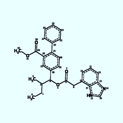 CCC(C)C(OC(=O)Cc1cccc2nc[nH]c12)c1ccc(-c2ccccc2)c(C(=O)OC)c1